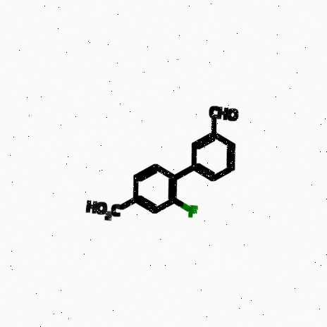 O=Cc1cccc(-c2ccc(C(=O)O)cc2F)c1